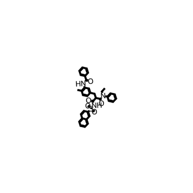 CCN(C(=O)C(Cc1ccc(C)c(NC(=O)c2ccccc2)c1)C(=O)NS(=O)(=O)c1ccc2ccccc2c1)c1ccccc1